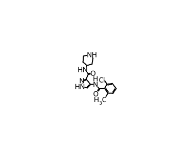 Cc1cccc(Cl)c1C(=O)Nc1c[nH]nc1C(=O)NC1CCNCC1